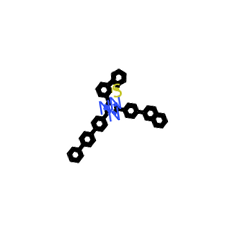 c1ccc(-c2ccc(-c3ccc(-c4nc(-c5ccc(-c6ccc7ccccc7c6)cc5)nc(-c5cccc6c5sc5ccccc56)n4)cc3)cc2)cc1